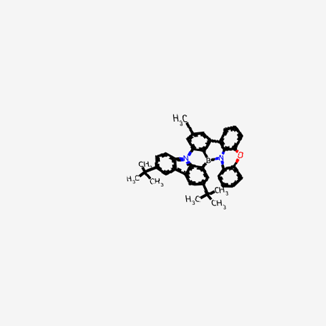 Cc1cc2c3c(c1)-n1c4ccc(C(C)(C)C)cc4c4cc(C(C)(C)C)cc(c41)B3N1c3ccccc3Oc3cccc-2c31